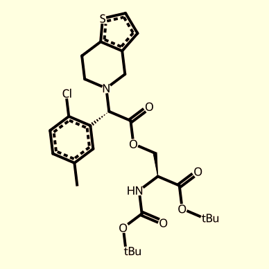 Cc1ccc(Cl)c([C@@H](C(=O)OC[C@H](NC(=O)OC(C)(C)C)C(=O)OC(C)(C)C)N2CCc3sccc3C2)c1